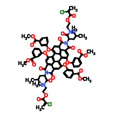 C=C(Cl)C(=O)OCCNC(=O)C(CC(C)C)N1C(=O)c2cc(Oc3cccc(C(=O)OC)c3)c3c4c(Oc5cccc(C(=O)OC)c5)cc5c6c(cc(Oc7cccc(C(=O)OC)c7)c(c7c(Oc8cccc(C(=O)OC)c8)cc(c2c37)C1=O)c64)C(=O)N(C(CC(C)C)C(=O)NCCOC(=O)C(=C)Cl)C5=O